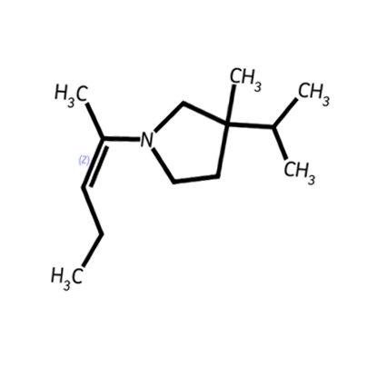 CC/C=C(/C)N1CCC(C)(C(C)C)C1